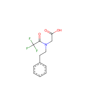 O=C(O)CN(CCc1ccccc1)C(=O)C(F)(F)F